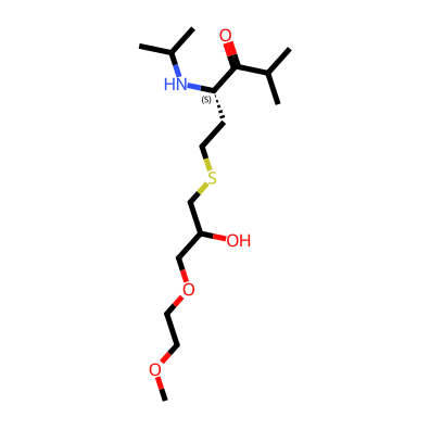 COCCOCC(O)CSCC[C@H](NC(C)C)C(=O)C(C)C